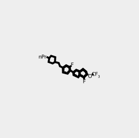 CCCC1CCC(CCc2ccc(-c3ccc4c(F)c(OC(F)(F)F)ccc4c3)c(F)c2)CC1